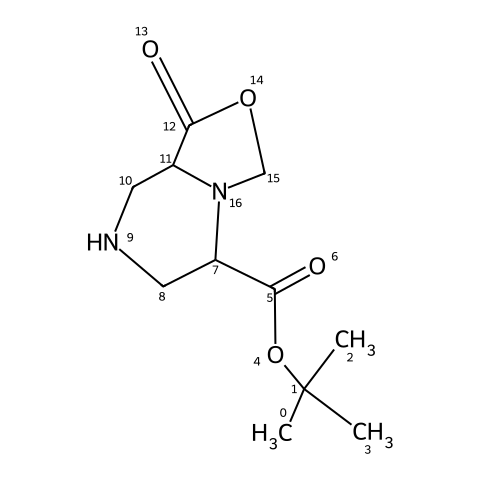 CC(C)(C)OC(=O)C1CNCC2C(=O)OCN21